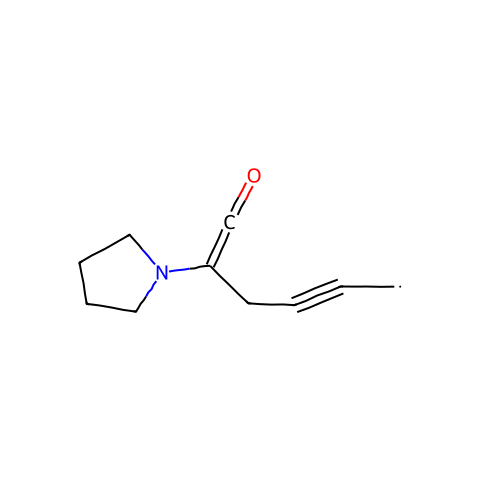 [CH2]C#CCC(=C=O)N1CCCC1